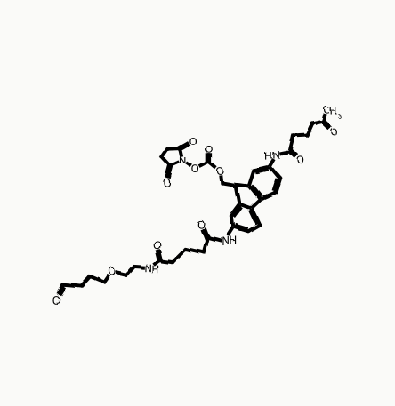 CC(=O)CCCC(=O)Nc1ccc2c(c1)C(COC(=O)ON1C(=O)CCC1=O)c1cc(NC(=O)CCCC(=O)NCCOCCCC=O)ccc1-2